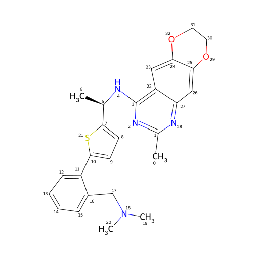 Cc1nc(N[C@H](C)c2ccc(-c3ccccc3CN(C)C)s2)c2cc3c(cc2n1)OCCO3